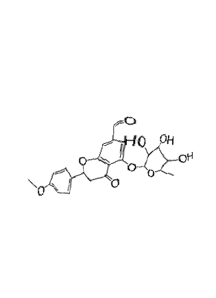 COc1ccc(C2CC(=O)c3c(cc(C=O)cc3OC3OC(C)C(O)C(O)C3O)O2)cc1